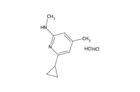 CNc1cc(C)cc(C2CC2)n1.Cl.Cl